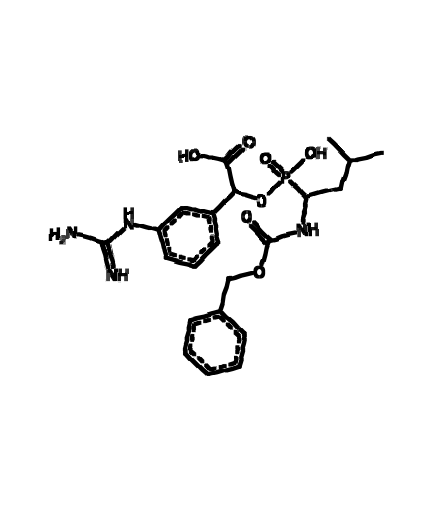 CC(C)CC(NC(=O)OCc1ccccc1)P(=O)(O)OC(C(=O)O)c1cccc(NC(=N)N)c1